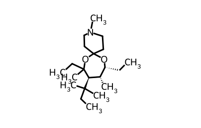 CC[C@H]1OC2(CCN(C)CC2)OC(C)(CC)[C@H](C(C)(C)CC)[C@H]1C